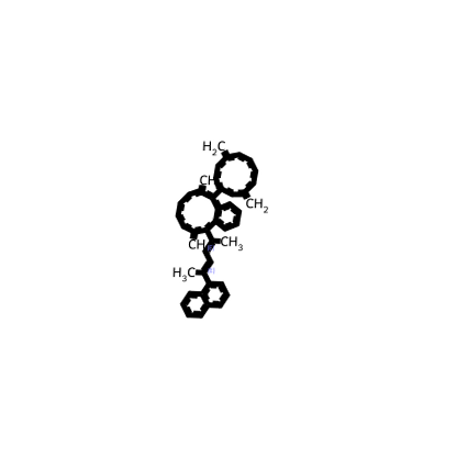 C=c1ccccc(=C)cc(-c2c(=C)ccccc(=C)c(/C(C)=C/C=C(\C)c3cccc4ccccc34)c3ccccc23)cc1